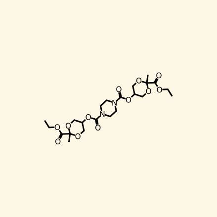 CCOC(=O)C1(C)OCC(OC(=O)N2CCN(C(=O)OC3COC(C)(C(=O)OCC)OC3)CC2)CO1